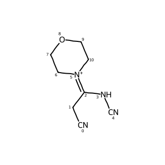 N#CCC(NC#N)=[N+]1CCOCC1